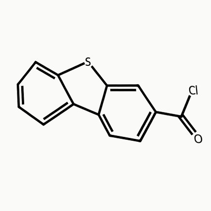 O=C(Cl)c1ccc2c(c1)sc1ccccc12